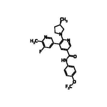 Cc1ncc(-c2cc(C(=O)Nc3ccc(OC(F)(F)F)cc3)cnc2N2CC[C@@H](C)C2)cc1F